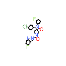 O=C(NCc1cccc(F)c1)N1CCC2(CC1)C(=O)N(c1cccc(F)c1)C2c1ccc(Cl)cc1